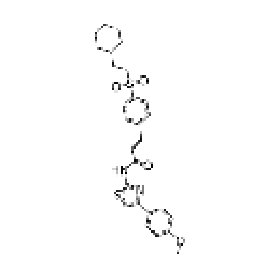 COc1ccc(-c2csc(NC(=O)/C=C/c3ccc(S(=O)(=O)CCC4CCCCC4)cc3)n2)cc1